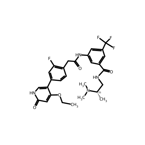 CCOc1cc(=O)[nH]cc1-c1ccc(CC(=O)Nc2cc(C(=O)NC[C@H](C)N(C)C)cc(C(F)(F)F)c2)c(F)c1